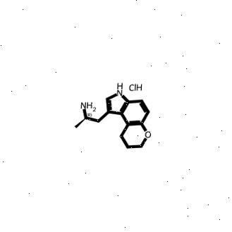 C[C@@H](N)Cc1c[nH]c2ccc3c(c12)CCCO3.Cl